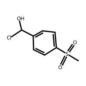 CS(=O)(=O)c1ccc(C(O)Cl)cc1